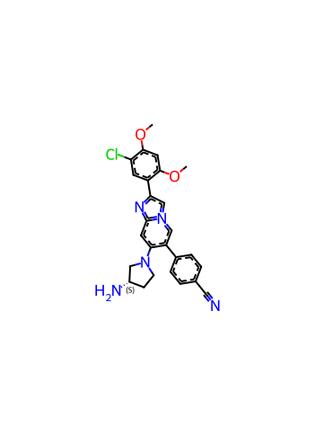 COc1cc(OC)c(-c2cn3cc(-c4ccc(C#N)cc4)c(N4CC[C@H](N)C4)cc3n2)cc1Cl